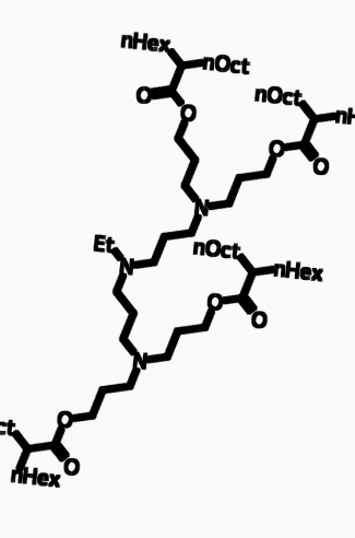 CCCCCCCCC(CCCCCC)C(=O)OCCCN(CCCOC(=O)C(CCCCCC)CCCCCCCC)CCCN(CC)CCCN(CCCOC(=O)C(CCCCCC)CCCCCCCC)CCCOC(=O)C(CCCCCC)CCCCCCCC